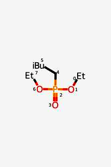 CCOP(=O)(CC(C)CC)OCC